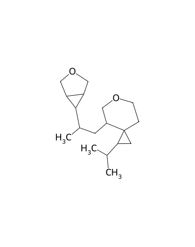 CC(C)C1CC12CCOCC2CC(C)C1C2COCC21